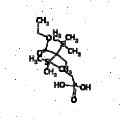 CCOC(=O)C(CCCP(=O)(O)O)([Si](C)(C)C)[Si](C)(C)C